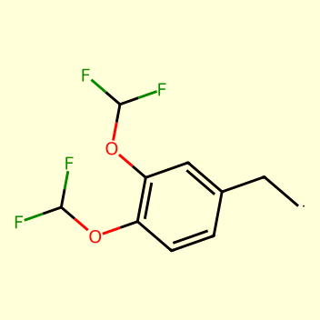 [CH2]Cc1ccc(OC(F)F)c(OC(F)F)c1